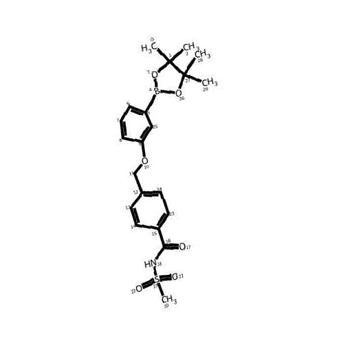 CC1(C)OB(c2cccc(OCc3ccc(C(=O)NS(C)(=O)=O)cc3)c2)OC1(C)C